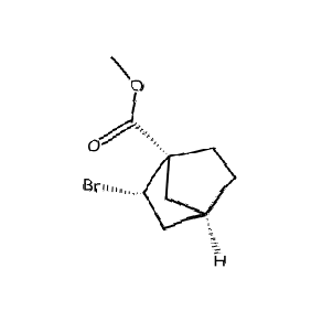 COC(=O)[C@@]12CC[C@@H](C[C@@H]1Br)C2